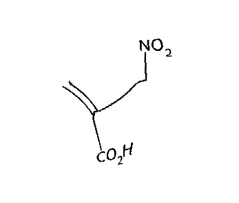 C=C(C[N+](=O)[O-])C(=O)O